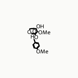 COc1ccc(COC2[C@@H]3OCC(O3)[C@@H](O)[C@H]2OC)cc1